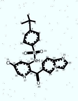 CC(C)(C)c1ccc(S(=O)(=O)Nc2cc(Cl)cnc2C(=O)c2ccc3nccn3c2)cc1